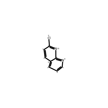 Clc1ccc2cccnc2n1